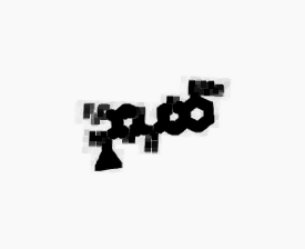 CNC1CCCc2cc(Nc3ncc(C(F)(F)F)c(NC4CC4)n3)cnc21